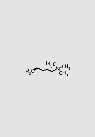 C=CCCC[N+](C)(C)C